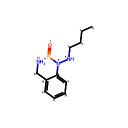 CCCCNN(P=O)c1ccccc1CN